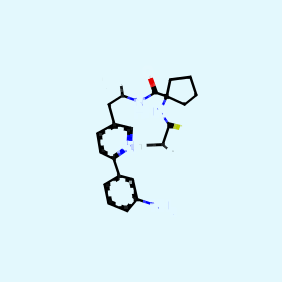 CCOC(=O)C(Cc1ccc(-c2cccc(N)c2)nc1)NC(=O)C1(NC(=S)C(C(C)=O)C(C)C)CCCC1